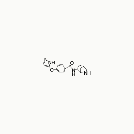 O=C(NC1CC2CNC1C2)c1ccc(Oc2ccn[nH]2)cc1